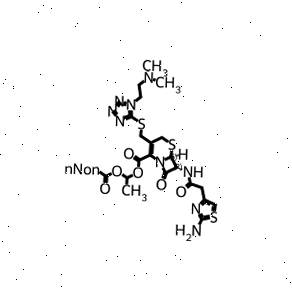 CCCCCCCCCC(=O)OC(C)OC(=O)C1=C(CSc2nnnn2CCN(C)C)CS[C@H]2[C@H](NC(=O)Cc3csc(N)n3)C(=O)N12